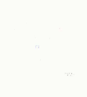 CNCc1ccc(NSc2cccs2)c(-c2ccco2)c1